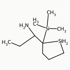 CCC(N)C1([Si](C)(C)C)CCC[SiH2]1